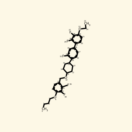 CCCCOc1ccc(COC2CCC(c3ccc(-c4ccc(OCC)c(F)c4F)cc3F)CC2)c(F)c1F